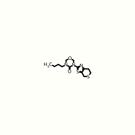 CCCCN1COCN(c2nc3c(s2)CSCC3)C1=O